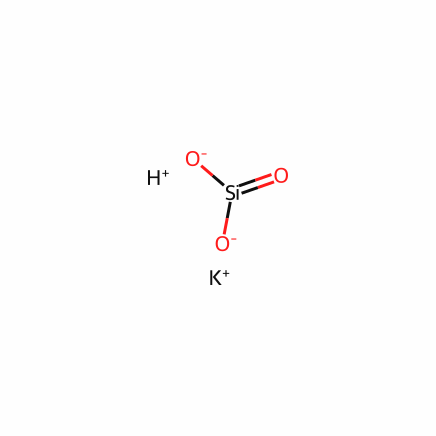 O=[Si]([O-])[O-].[H+].[K+]